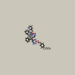 COc1ccc(CCOc2nccc(C(C#N)C3C=CN=C(OCc4cccnc4)[N+]3(c3nc4ccccc4s3)c3nc4ccccc4s3)n2)cc1